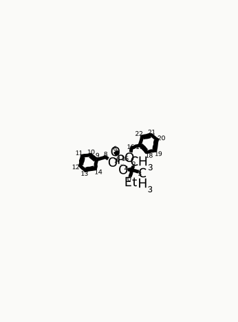 CCC(C)(C)OP(=O)(OCc1ccccc1)OCc1ccccc1